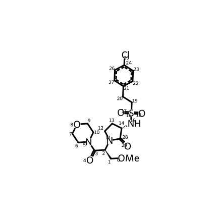 COC[C@@H](C(=O)N1CCOCC1)N1CC[C@H](NS(=O)(=O)CCc2ccc(Cl)cc2)C1=O